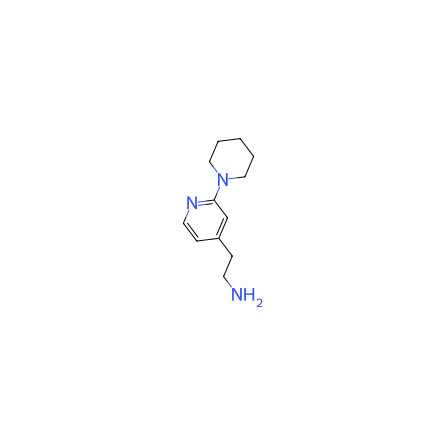 NCCc1ccnc(N2CCCCC2)c1